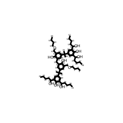 CCCCOCc1cc(C(C)(C)c2cc(C(O)CCCC)c(O)c(C(O)CCCC)c2)cc(Cc2cc(C(C)(C)c3cc(C(O)CCCC)c(O)c(C(O)CCCC)c3)cc(COCCCC)c2O)c1O